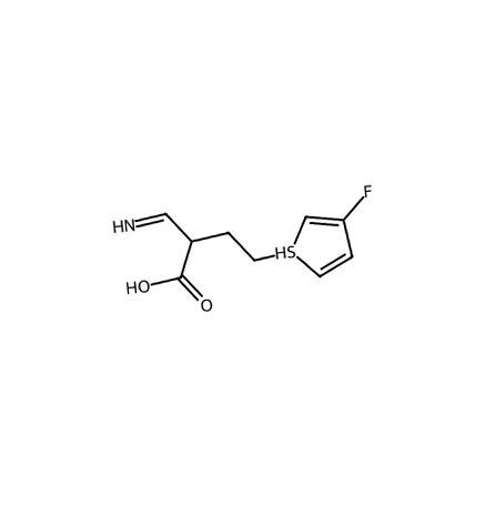 N=CC(CC[SH]1C=CC(F)=C1)C(=O)O